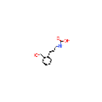 O=C(O)NCC=Cc1ccccc1CO